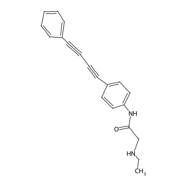 CCNCC(=O)Nc1ccc(C#CC#Cc2ccccc2)cc1